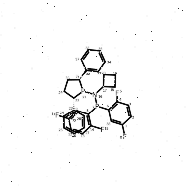 Fc1ccc(F)c(P(c2cc(F)ccc2F)N(C2CCC2)P2[C@H](c3ccccc3)CC[C@H]2c2ccccc2)c1